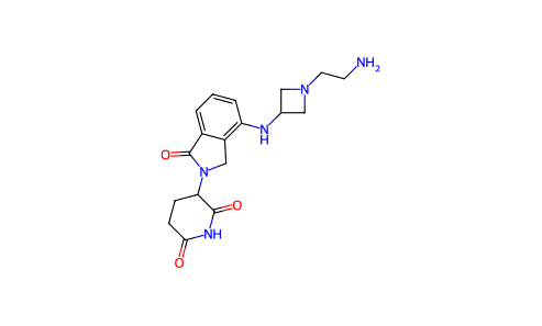 NCCN1CC(Nc2cccc3c2CN(C2CCC(=O)NC2=O)C3=O)C1